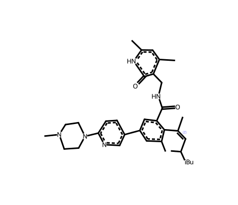 CCC(C)C(C)/C=C(/C)c1c(C)cc(-c2ccc(N3CCN(C)CC3)nc2)cc1C(=O)NCc1c(C)cc(C)[nH]c1=O